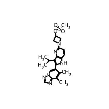 Cc1c(-c2[nH]c3ccc(N4CC(OS(C)(=O)=O)C4)nc3c2C(C)C)cn2ncnc2c1C